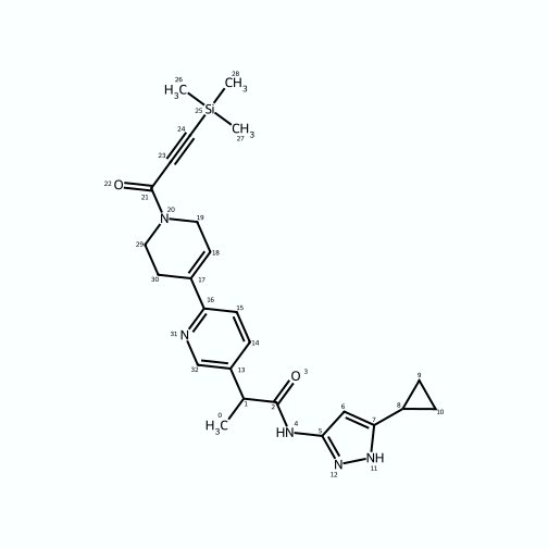 CC(C(=O)Nc1cc(C2CC2)[nH]n1)c1ccc(C2=CCN(C(=O)C#C[Si](C)(C)C)CC2)nc1